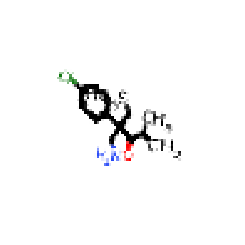 C=C(C)C(=O)C(CN)(CS(=O)(=O)O)c1ccc(Cl)cc1